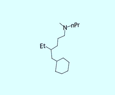 CCCN(C)CCCC(CC)CC1CCCCC1